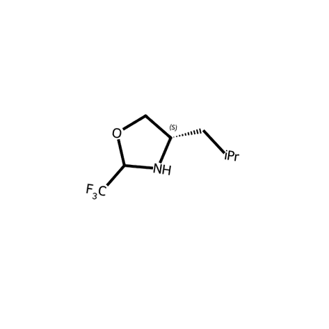 CC(C)C[C@H]1COC(C(F)(F)F)N1